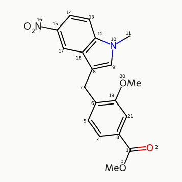 COC(=O)c1ccc(Cc2cn(C)c3ccc([N+](=O)[O-])cc23)c(OC)c1